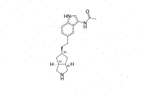 CC(=O)Nc1c[nH]c2ccc(CC[C@H]3C[C@H]4CNC[C@H]4C3)cc12